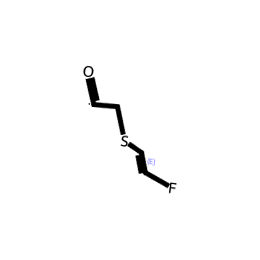 O=[C]CS/C=C/F